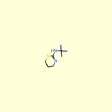 CC(C)(C)NC1=NCCCS1